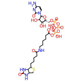 Nc1ccn([C@@H]2O[C@H](COP(=O)(O)OP(=O)(O)OP(=O)(O)OC(=O)CCCCCNC(=O)CCCCC3SCC4NC(=O)NC43)[C@H](O)C2O)c(=O)n1